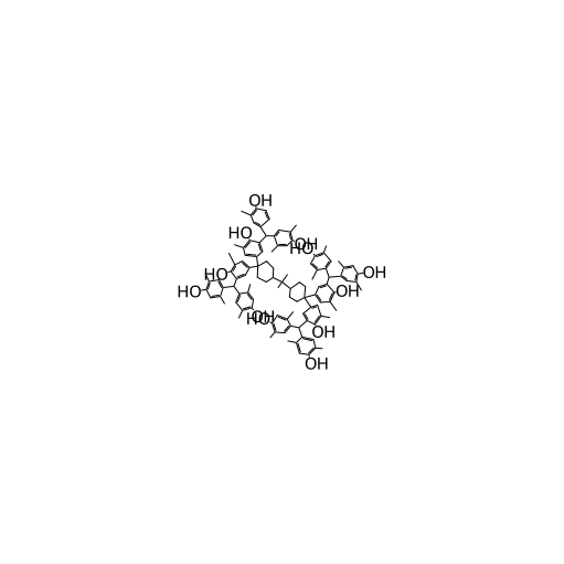 Cc1cc(C(c2cc(C)c(O)cc2C)c2cc(C3(c4cc(C)c(O)c(C(c5cc(C)c(O)cc5C)c5cc(C)c(O)cc5C)c4)CCC(C(C)(C)C4CCC(c5cc(C)c(O)c(C(c6cc(C)c(O)cc6C)c6cc(C)c(O)cc6C)c5)(c5cc(C)c(O)c(C(c6cc(C)c(O)cc6C)c6cc(C)c(O)cc6C)c5)CC4)CC3)cc(C)c2O)ccc1O